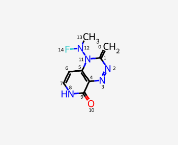 C=C1N=Nc2c(cc[nH]c2=O)N1N(C)F